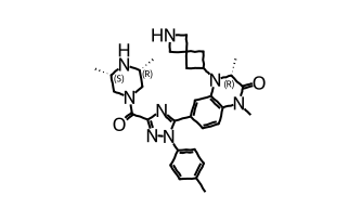 Cc1ccc(-n2nc(C(=O)N3C[C@@H](C)N[C@@H](C)C3)nc2-c2ccc3c(c2)N(C2CC4(CNC4)C2)[C@H](C)C(=O)N3C)cc1